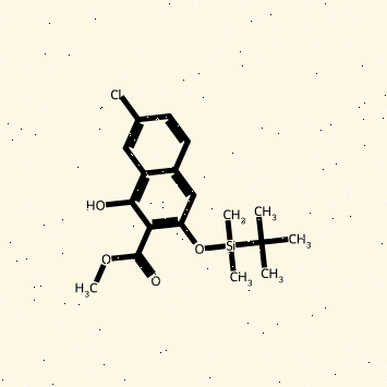 COC(=O)c1c(O[Si](C)(C)C(C)(C)C)cc2ccc(Cl)cc2c1O